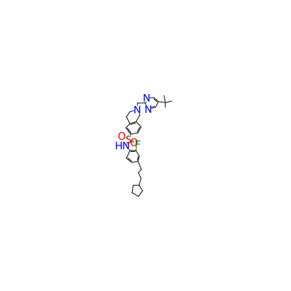 CC(C)(C)c1cnc(CN2CCc3cc(S(=O)(=O)Nc4ccc(CCCC5CCCC5)cc4F)ccc3C2)nc1